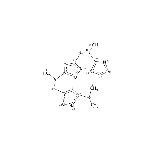 CC(C)c1cc(CC(C)c2cc(CC(C)c3nccs3)no2)on1